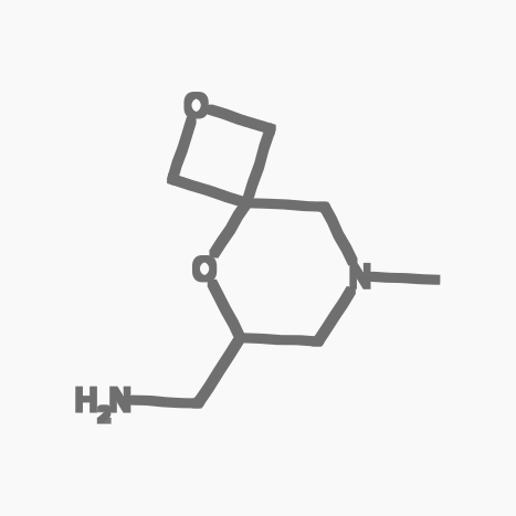 CN1CC(CN)OC2(COC2)C1